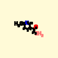 BCC(=O)c1ccc(C)nc1